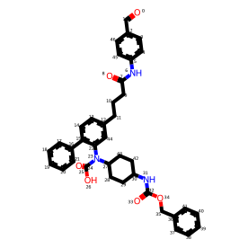 O=Cc1ccc(NC(=O)CCCc2ccc(-c3ccccc3)c(N(C(=O)O)C3CCC(NC(=O)OCc4ccccc4)CC3)c2)cc1